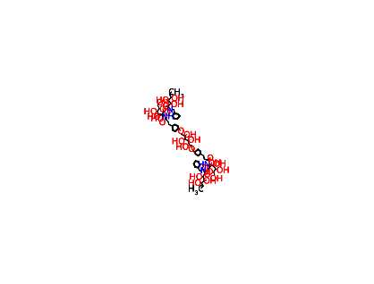 CC[C@@H](O)[C@H](O)[C@H](O)C(=O)N(Cc1ccccc1)O[C@H]1O[C@H](CO)[C@@H](O)[C@H](O)[C@@]1(O)NC(=O)CCc1ccc(OC[C@@H](O)[C@H](O)[C@H](O)[C@@H](O)COc2ccc(CCC(=O)N[C@@]3(O)[C@@H](ON(Cc4ccccc4)C(=O)[C@@H](O)[C@@H](O)[C@H](O)CC)O[C@H](CO)[C@@H](O)[C@@H]3O)cc2)cc1